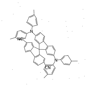 Cc1ccc(N(C2=CCC(C)C=C2)c2ccc3c(c2)C2(c4cc(C#N)ccc4-c4ccc(C#N)cc42)c2cc(N(c4ccc(C)cc4)c4ccc(C)cc4)ccc2-3)cc1